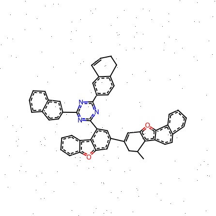 CC1CC(c2cc(-c3nc(-c4ccc5c(c4)C=CCC5)nc(-c4ccc5ccccc5c4)n3)c3c(c2)oc2ccccc23)=Cc2oc3c(ccc4ccccc43)c21